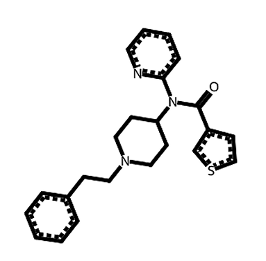 O=C(c1ccsc1)N(c1ccccn1)C1CCN(CCc2ccccc2)CC1